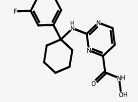 O=C(NO)c1ccnc(NC2(c3cccc(F)c3)CCCCC2)n1